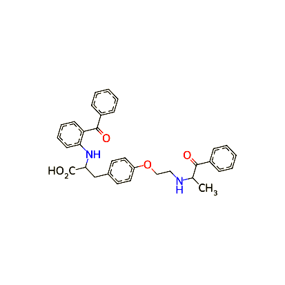 CC(NCCOc1ccc(CC(Nc2ccccc2C(=O)c2ccccc2)C(=O)O)cc1)C(=O)c1ccccc1